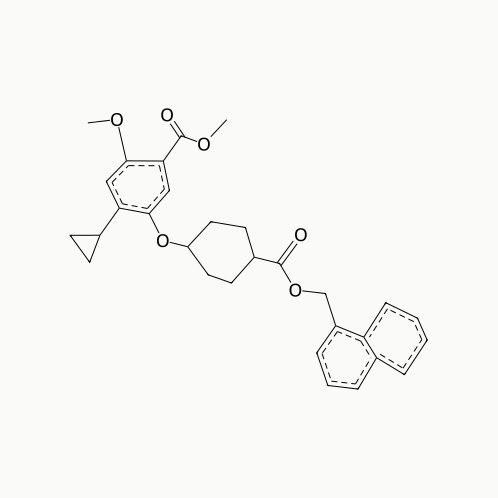 COC(=O)c1cc(OC2CCC(C(=O)OCc3cccc4ccccc34)CC2)c(C2CC2)cc1OC